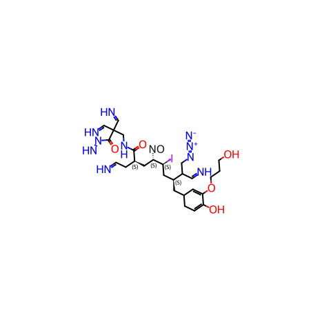 [N-]=[N+]=NCC(C=N)[C@@H](CC1C=C(OCCCO)C(O)=CC1)C[C@H](I)[C@H](C[C@@H](CC=N)C(=O)NCC(C=N)(C=N)C(=O)N=N)N=O